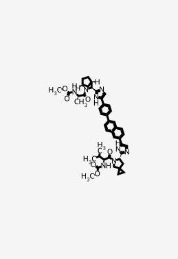 COC(=O)N[C@@H](C)C(=O)N1[C@@H]2CC[C@@H](C2)[C@H]1c1ncc(-c2ccc(-c3ccc4cc(-c5cnc([C@@H]6CC7(CC7)CN6C(=O)[C@@H](NC(=O)OC)C(C)C)[nH]5)ccc4c3)cc2)[nH]1